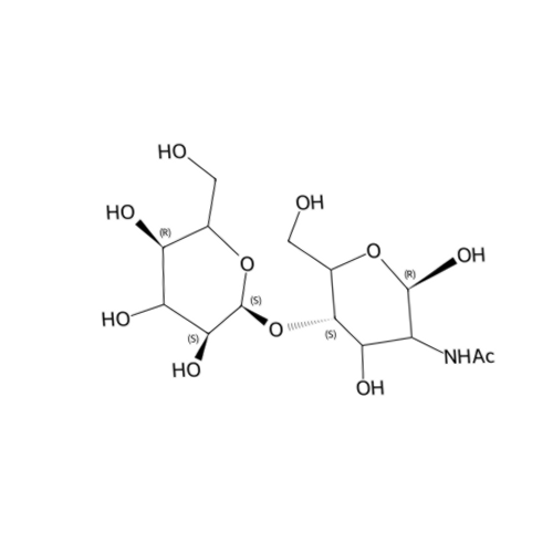 CC(=O)NC1C(O)[C@H](O[C@@H]2OC(CO)[C@H](O)C(O)[C@@H]2O)C(CO)O[C@H]1O